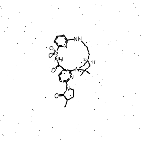 CC1CCN(c2ccc3c(n2)N2C[C@@H](CCCNc4cccc(n4)S(=O)(=O)NC3=O)CC2(C)C)C1=O